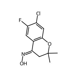 CC1(C)C/C(=N\O)c2cc(F)c(Cl)cc2O1